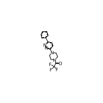 O=C(N1CCN(c2ccc(-c3ccccc3)nn2)CC1)C(F)(F)F